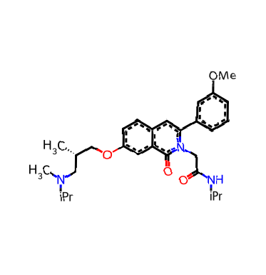 COc1cccc(-c2cc3ccc(OC[C@@H](C)CN(C)C(C)C)cc3c(=O)n2CC(=O)NC(C)C)c1